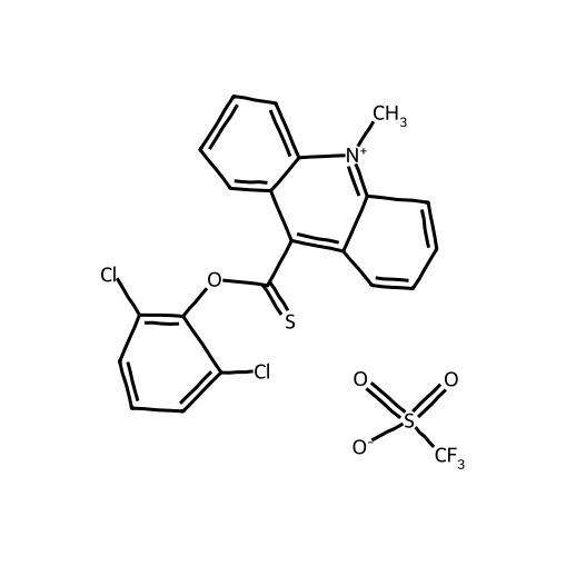 C[n+]1c2ccccc2c(C(=S)Oc2c(Cl)cccc2Cl)c2ccccc21.O=S(=O)([O-])C(F)(F)F